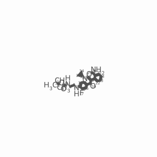 CC(C)(C)OC(=O)NCCNc1cc2c(cc1F)c(=O)c(-c1ccccc1C(N)=O)cn2C1CC1